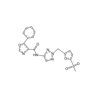 CS(=O)(=O)c1ccc(Cn2ncc(NC(=O)c3ncoc3-c3ccccc3)n2)o1